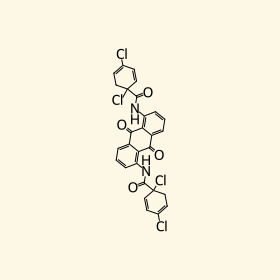 O=C1c2cccc(NC(=O)C3(Cl)C=CC(Cl)=CC3)c2C(=O)c2cccc(NC(=O)C3(Cl)C=CC(Cl)=CC3)c21